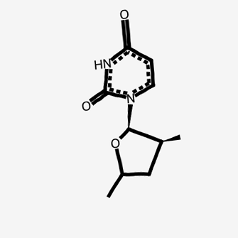 CC1C[C@H](C)[C@H](n2ccc(=O)[nH]c2=O)O1